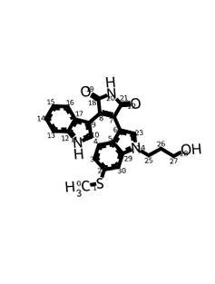 CSc1ccc2c(C3=C(c4c[nH]c5ccccc45)C(=O)NC3=O)cn(CCCO)c2c1